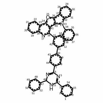 c1ccc(C2=NC(c3ccc(-c4cccc(-c5nc6ccccc6c6oc7c8ccccc8n(-c8ccccc8)c7c56)c4)cc3)=NC(c3ccccc3)N2)cc1